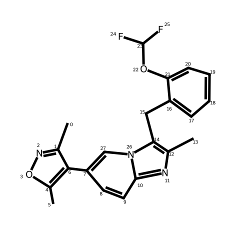 Cc1noc(C)c1-c1ccc2nc(C)c(Cc3ccccc3OC(F)F)n2c1